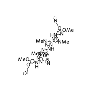 CNc1cc(-c2cc(NC)nc(Nc3cnc(OC)c(OC[C@H]4CN(C)CC4c4cc(NC)nc(Nc5ccc(OC)c(OCCCN6CCC6)c5)n4)c3)n2)nc(Nc2cnc(OC)c(OCCCN3CCCC3)c2)n1